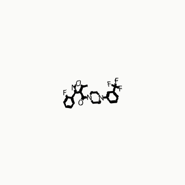 Cc1onc(-c2ccccc2F)c1C(=O)N1CCN(c2cccc(C(F)(F)F)c2)CC1